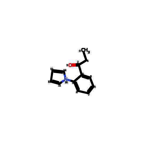 CCC(=O)c1ccccc1-n1cccc1